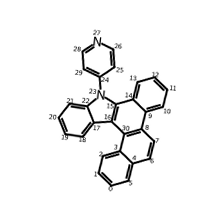 c1ccc2c(c1)ccc1c3ccccc3c3c(c4ccccc4n3-c3ccncc3)c21